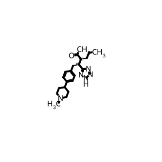 CCC[C@H](C(C)=O)[C@H](Cc1ccc(C2CCN(C)CC2)cc1)c1nn[nH]n1